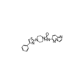 O=C(Nc1ccc2nccn2n1)N1CCN(c2nc(-c3ccccc3)cs2)CC1